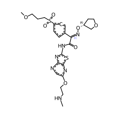 CNCCOc1cnc2nc(NC(=O)/C(=N/O[C@@H]3CCOC3)c3ccc(S(=O)(=O)CCCOC)cc3)sc2n1